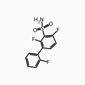 NS(=O)(=O)c1c(F)ccc(-c2ccccc2F)c1F